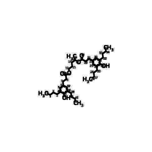 CCCCc1cc(CCC(=O)OCCCC(C)OC(=O)CCc2cc(CCCC)c(O)c(CCCC)c2)cc(CCCC)c1O